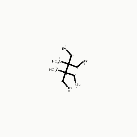 CC(C)CC(CC(C)C)(C(=O)O)C(CC(C)(C)C)(CC(C)(C)C)C(=O)O